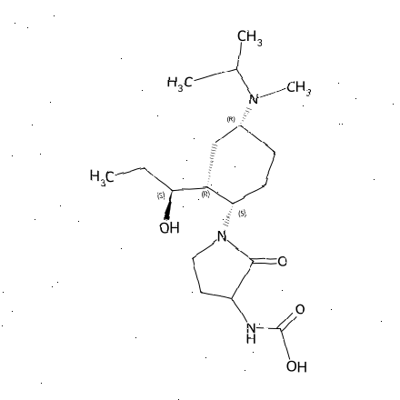 CC[C@H](O)[C@@H]1C[C@H](N(C)C(C)C)CC[C@@H]1N1CCC(NC(=O)O)C1=O